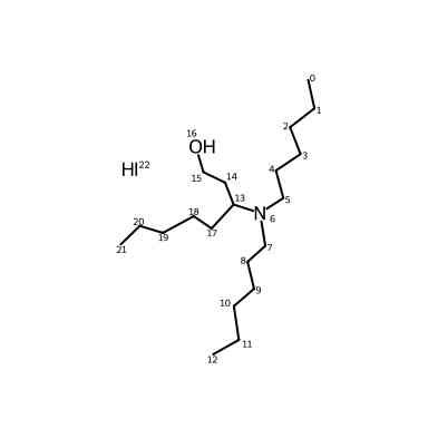 CCCCCCN(CCCCCC)C(CCO)CCCCC.I